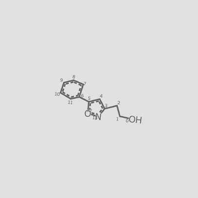 OCCc1cc(-c2ccccc2)on1